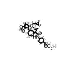 Cc1[nH]c2c(-c3c(OCC4CC4)ccc4c3OCO4)ccnc2c1C(=O)NC1CCC(NC(=O)O)CC1